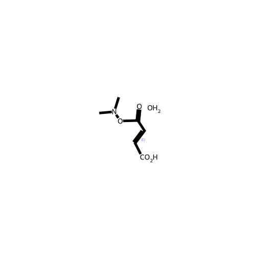 CN(C)OC(=O)/C=C/C(=O)O.O